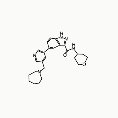 O=C(NC1CCOCC1)c1n[nH]c2ccc(-c3cncc(CN4CCCCCC4)c3)cc12